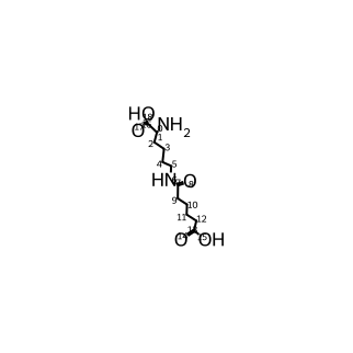 NC(CCCCNC(=O)CCCCC(=O)O)C(=O)O